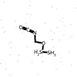 O=C=NCO[SiH2][SiH3]